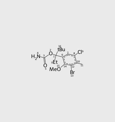 CCC(OC(N)=O)(c1cc(Cl)c(C)c(Br)c1OC)C(C)(C)C